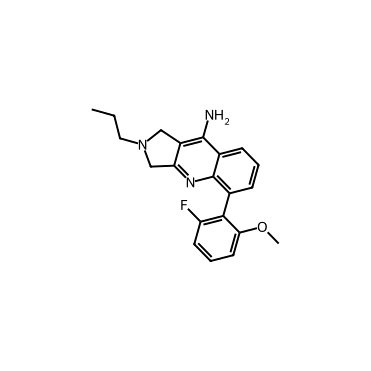 CCCN1Cc2nc3c(-c4c(F)cccc4OC)cccc3c(N)c2C1